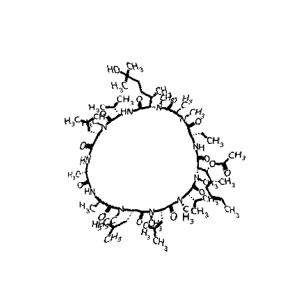 C/C=C/C[C@@H](C)[C@@H](OC(C)=O)[C@H]1C(=O)N[C@@H](CC)C(=O)N(C)[C@H](C)C(=O)N(C)[C@@H]([C@H](C)CCC(C)(C)O)C(=O)N[C@@H](C(C)C)C(=O)N(C)[C@@H](CC(C)C)C(=O)N[C@@H](C)C(=O)N[C@H](C)C(=O)N(C)[C@@H](CC(C)C)C(=O)N(C)[C@@H](CC(C)C)C(=O)N(C)[C@@H](C(C)C)C(=O)N1C